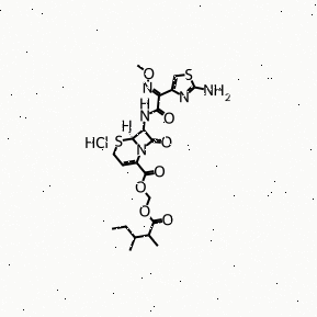 CCC(C)C(C)C(=O)OCOC(=O)C1=CCS[C@H]2C(NC(=O)C(=NOC)c3csc(N)n3)C(=O)N12.Cl